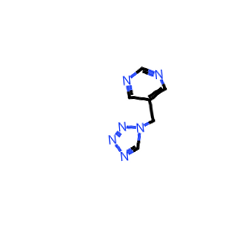 c1ncc(Cn2cnnn2)cn1